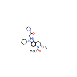 COC(=O)N1c2ccc3c(nc(CC(=O)N4CCCC4)n3C3CCCCC3)c2CC[C@@H]1C